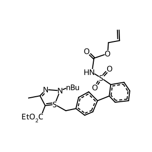 C=CCOC(=O)NS(=O)(=O)c1ccccc1-c1ccc(CS2=C(C(=O)OCC)C(C)=NN2CCCC)cc1